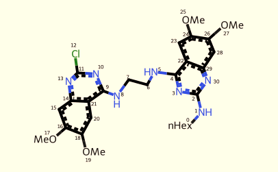 CCCCCCNc1nc(NCCNc2nc(Cl)nc3cc(OC)c(OC)cc23)c2cc(OC)c(OC)cc2n1